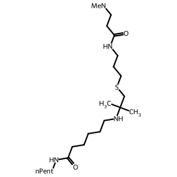 CCCCCNC(=O)CCCCCNC(C)(C)CSCCCNC(=O)CCNC